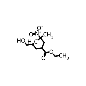 CCOC(=O)C(CCCO)CC(C)(C)[N+](=O)[O-]